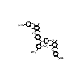 COc1ccc(Oc2c(C)cc(C)c(Nc3ccc(C(c4ccc(Nc5c(C)cc(C)c(Oc6ccc(OC)cc6)c5C)cc4)c4ccc(S(=O)(=O)O)cc4S(=O)(=O)O)cc3)c2C)cc1